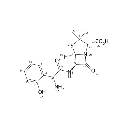 CC1(C)S[C@@H]2[C@H](NC(=O)C(N)c3ccccc3O)C(=O)N2[C@H]1C(=O)O